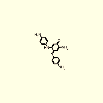 NC1=CC(=Nc2ccc(N)cc2)C(Nc2ccc(N)cc2)=CC1=O